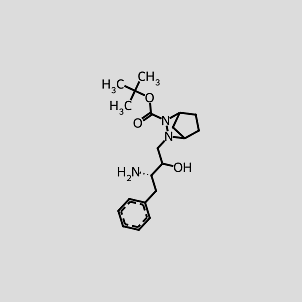 CC(C)(C)OC(=O)N1C2CCC(C2)N1CC(O)[C@@H](N)Cc1ccccc1